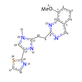 COc1cccc2cnc(CCc3nc(-c4nccs4)cn3C)nc12